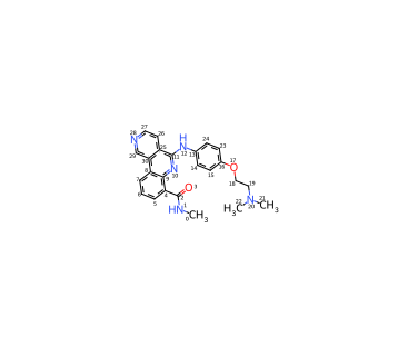 CNC(=O)c1cccc2c1nc(Nc1ccc(OCCN(C)C)cc1)c1ccncc12